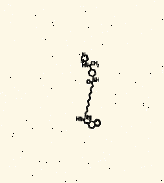 C=C(Nc1ccncn1)C1CCC(NC(=O)CCCCCCCCCCn2nc3c(cc2=N)CCc2ccccc2-3)CC1